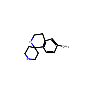 COc1ccc2c(c1)CCNC21CCNCC1